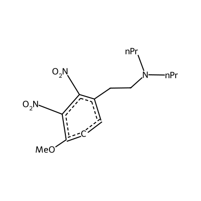 CCCN(CCC)CCc1ccc(OC)c([N+](=O)[O-])c1[N+](=O)[O-]